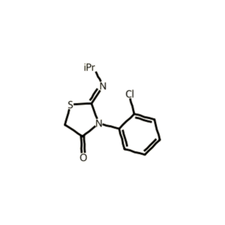 CC(C)N=C1SCC(=O)N1c1ccccc1Cl